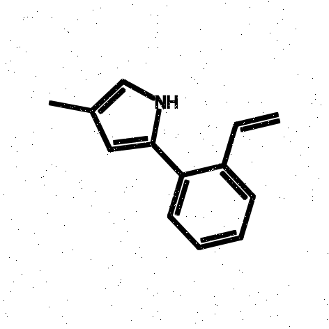 C=Cc1ccccc1-c1cc(C)c[nH]1